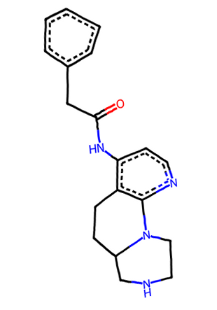 O=C(Cc1ccccc1)Nc1ccnc2c1CCC1CNCCN21